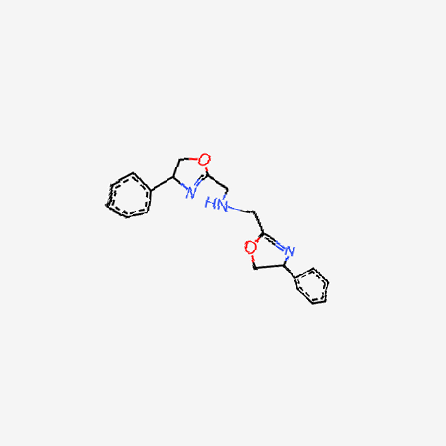 c1ccc(C2COC(CNCC3=NC(c4ccccc4)CO3)=N2)cc1